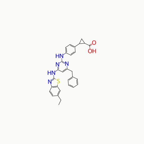 CCc1ccc2nc(Nc3cc(Cc4ccccc4)nc(Nc4ccc(C5CC5C(=O)O)cc4)n3)sc2c1